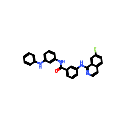 O=C(Nc1cccc(Nc2ccccc2)c1)c1cccc(Nc2nccc3ccc(F)cc23)c1